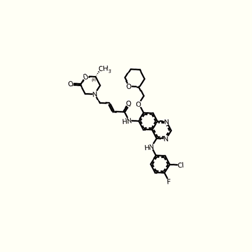 C[C@@H]1CN(CC=CC(=O)Nc2cc3c(Nc4ccc(F)c(Cl)c4)ncnc3cc2OCC2CCCCO2)CC(=O)O1